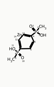 CP(=O)(O)c1ccc(P(C)(=O)O)cc1.[Zn]